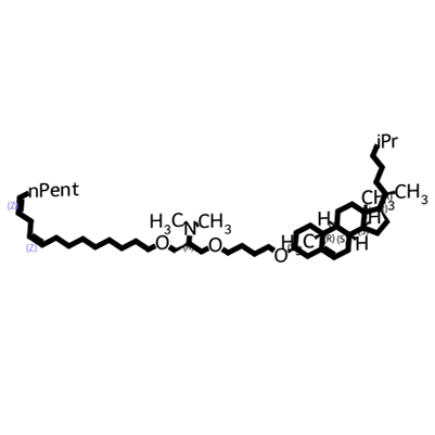 CCCCC/C=C\C/C=C\CCCCCCCCOC[C@H](COCCCCO[C@H]1CC[C@@]2(C)C(=CC[C@H]3[C@@H]4CC[C@H]([C@H](C)CCCC(C)C)[C@@]4(C)CC[C@@H]32)C1)N(C)C